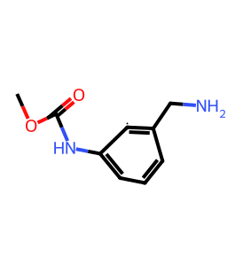 COC(=O)Nc1[c]c(CN)ccc1